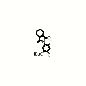 C=C1C2=C(CCCC2)C(=O)N1c1cc(OCC(C)C)c(Cl)cc1F